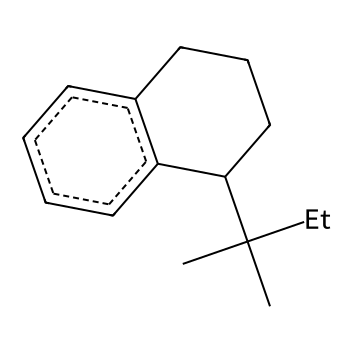 CCC(C)(C)C1CCCc2ccccc21